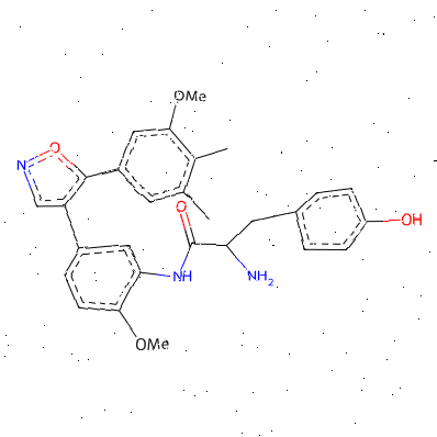 COc1ccc(-c2cnoc2-c2cc(C)c(C)c(OC)c2)cc1NC(=O)C(N)Cc1ccc(O)cc1